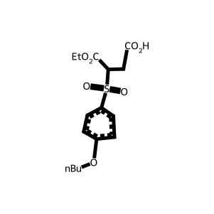 CCCCOc1ccc(S(=O)(=O)C(CC(=O)O)C(=O)OCC)cc1